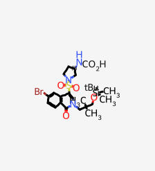 CC(C)(CO[Si](C)(C)C(C)(C)C)Cn1cc(S(=O)(=O)N2CC[C@@H](NC(=O)O)C2)c2cc(Br)ccc2c1=O